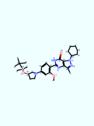 COc1cc(N2CC[C@@H](O[Si](C)(C)C(C)(C)C)C2)ccc1-c1nc2c(C)nn(C3CCCCC3)c2c(=O)[nH]1